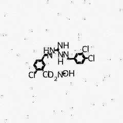 N=C(NN=Cc1ccc(Cl)c(Cl)c1)NN=Cc1ccc(Cl)c(Cl)c1.O=[N+]([O-])O